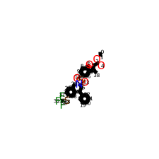 CCOC(=O)c1oc2ccc(S(=O)(=O)N(CCc3ccccc3)Cc3ccc(SC(F)(F)F)cc3)cc2c1C